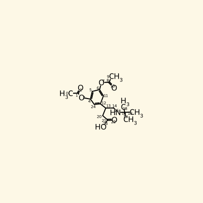 CC(=O)Oc1cc(OC(C)=O)cc(C(CNC(C)(C)C)CC(=O)O)c1